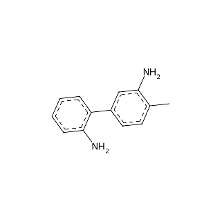 Cc1ccc(-c2ccccc2N)cc1N